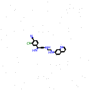 N#Cc1ccc(C(=N)C#CNCCNc2ccc3cccnc3c2)cc1Cl